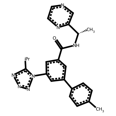 Cc1ccc(-c2cc(C(=O)N[C@@H](C)c3cnccn3)cc(-n3nnnc3C(C)C)c2)cc1